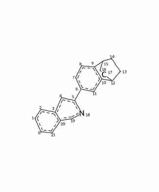 c1ccc2cc(-c3ccc4c(c3)C3CCC4CC3)ncc2c1